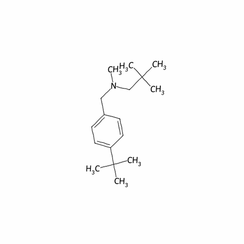 CN(Cc1ccc(C(C)(C)C)cc1)CC(C)(C)C